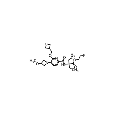 CCC(CC)(NC(=O)c1ccc(N2CC(OC)C2)c(OCC2COC2)n1)C(=O)OCCF